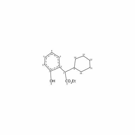 CCOC(=O)C(c1ccccc1O)C1CCCCC1